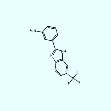 Nc1cccc(-c2nc3ccc(C(F)(F)F)cc3[nH]2)c1